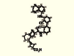 O=C(Nc1cccc(-c2cccc(Nc3nccc4nccnc34)c2Cl)c1Cl)c1cc2n(n1)CCC[C@@H]2N1CC(C(=O)O)C1